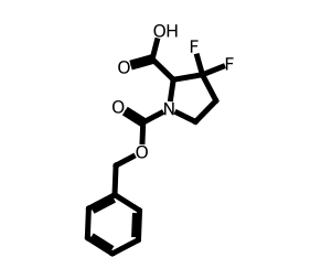 O=C(O)C1N(C(=O)OCc2ccccc2)CCC1(F)F